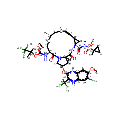 CC[C@@H]1C[C@H](C)CC/C=C\C2C[C@@]2(C(=O)NS(=O)(=O)C2(C)CC2)NC(=O)[C@@H]2C[C@@H](Oc3nc4cc(OC)c(F)cc4nc3C(F)(F)F)CN2C(=O)[C@H]1NC(=O)OC(C)(C)C(F)(F)F